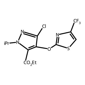 CCOC(=O)c1c(Oc2nc(C(F)(F)F)cs2)c(Cl)nn1C(C)C